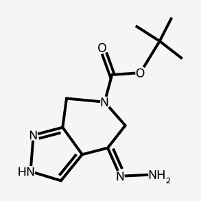 CC(C)(C)OC(=O)N1CC(=NN)c2c[nH]nc2C1